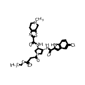 CCOC(=O)CC(=O)N1C[C@@H](NC(=O)c2cc3cc(Cl)ccc3[nH]2)[C@H](NC(=O)c2nc3c(s2)CN(C)CC3)C1